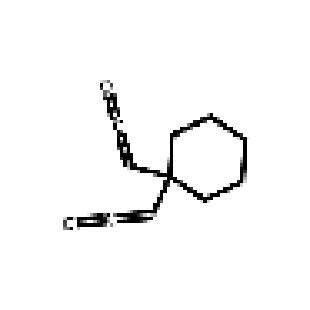 O=C=CC1(C=C=O)CCCCC1